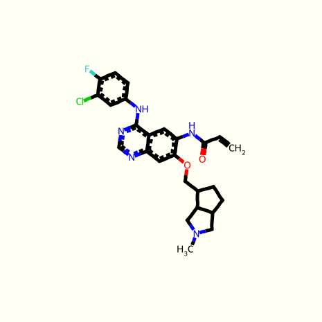 C=CC(=O)Nc1cc2c(Nc3ccc(F)c(Cl)c3)ncnc2cc1OCC1CCC2CN(C)CC12